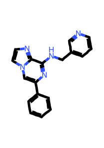 c1ccc(-c2cn3ccnc3c(NCc3cccnc3)n2)cc1